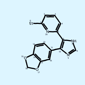 CCc1cccc(-c2[nH]cnc2-c2ccc3c(c2)OCO3)n1